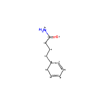 NC(=O)CCCC1C=CC=CC1